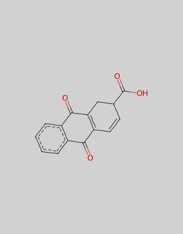 O=C1C2=C(CC(C(=O)O)C=C2)C(=O)c2ccccc21